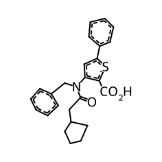 O=C(O)c1sc(-c2ccccc2)cc1N(Cc1ccccc1)C(=O)CC1CCCC1